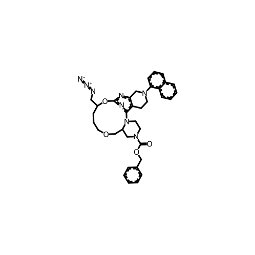 [N-]=[N+]=NCC1CCCOCC2CN(C(=O)OCc3ccccc3)CCN2c2nc(nc3c2CCN(c2cccc4ccccc24)C3)O1